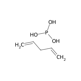 C=CCC=C.OP(O)O